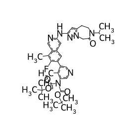 Cc1c(-c2cc3cc(Nc4cc5n(n4)CC(=O)N(C(C)C)CC5)ncc3c(C)c2F)cncc1N(C(=O)OC(C)(C)C)C(=O)OC(C)(C)C